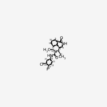 CCC(c1c[nH]c(=O)c2ccccc12)N(CC)C(=O)Nc1ccc(F)c(Cl)c1